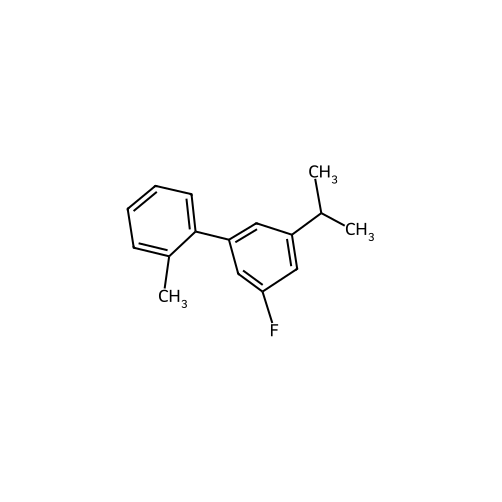 Cc1ccccc1-c1cc(F)cc(C(C)C)c1